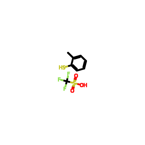 Cc1ccccc1S.O=S(=O)(O)C(F)(F)F